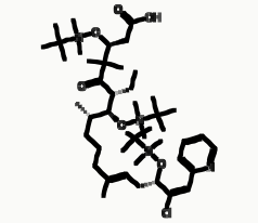 CC[C@@H](C(=O)C(C)(C)[C@H](CC(=O)O)O[Si](C)(C)C(C)(C)C)[C@@H](O[Si](C)(C)C(C)(C)C)[C@@H](C)CCC/C(C)=C/C[C@H](O[Si](C)(C)C(C)(C)C)/C(Cl)=C\c1ccccn1